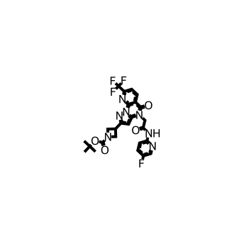 CC(C)(C)OC(=O)N1CC(c2cc3n(CC(=O)Nc4ccc(F)cn4)c(=O)c4ccc(C(F)(F)F)nc4n3n2)C1